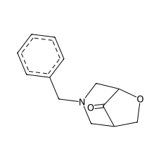 O=C1C2COC1CN(Cc1ccccc1)C2